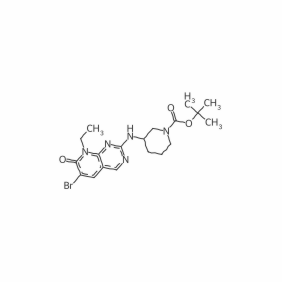 CCn1c(=O)c(Br)cc2cnc(NC3CCCN(C(=O)OC(C)(C)C)C3)nc21